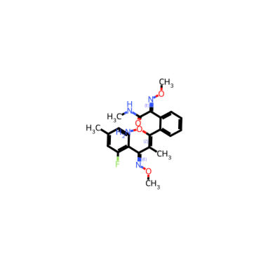 CNC(=O)/C(=N/OC)c1ccccc1/C(ON)=C(C)/C(=N\OC)c1ccc(C)cc1F